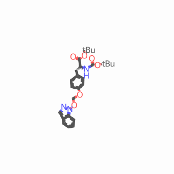 CC(C)(C)OC(=O)N[C@H](Cc1ccc(OCOn2ncc3ccccc32)cc1)C(=O)OC(C)(C)C